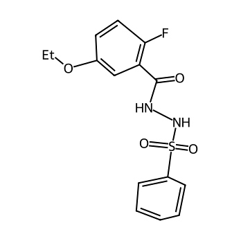 CCOc1ccc(F)c(C(=O)NNS(=O)(=O)c2ccccc2)c1